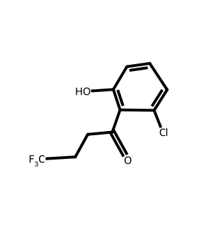 O=C(CCC(F)(F)F)c1c(O)cccc1Cl